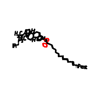 CCCCC/C=C/C/C=C/CCCCCCCC(=O)O[C@H]1CC[C@@]2(C)C(=CC[C@H]3[C@@H]4CC[C@H]([C@H](C)CCCC(C)C)[C@@]4(C)CC[C@@H]32)C1